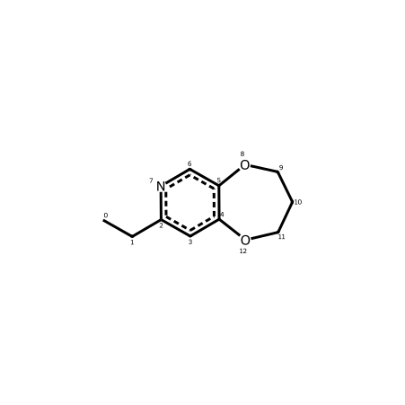 CCc1cc2c(cn1)OCCCO2